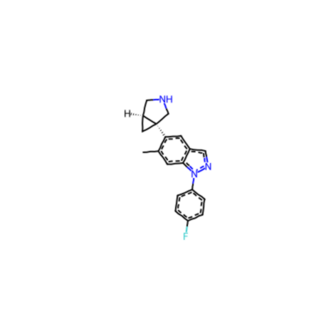 Cc1cc2c(cnn2-c2ccc(F)cc2)cc1[C@@]12CNC[C@@H]1C2